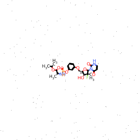 CC(C)OC(=O)[C@H](C)N[PH](=O)Oc1cccc(OC[C@H]2O[C@@H](n3c(=O)cc[nH]c3=O)[C@](C)(F)[C@@H]2O)c1